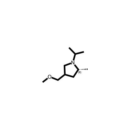 COCC1C[C@@H](C)N(C(C)C)C1